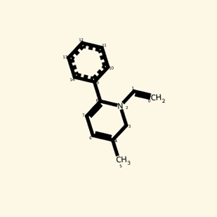 C=CN1CC(C)=CC=C1c1ccccc1